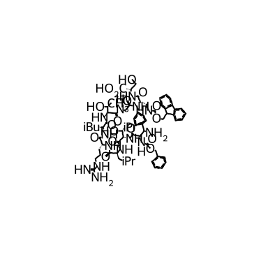 CC[C@H](C)[C@H](NC(=O)[C@@H](CCCNC(=N)N)NC(=O)[C@H](CC(C)C)NC(=O)[C@@H](NC(=O)[C@@H](NC(=O)OCc1ccccc1)[C@H](N)c1ccccc1)[C@H](O)C(C)C)C(=O)N[C@H](C(=O)NCC(=O)N[C@@H](CNC(=O)OCC1c2ccccc2-c2ccccc21)C(=O)N[C@@H](CO)C(=O)O)[C@H](C)O